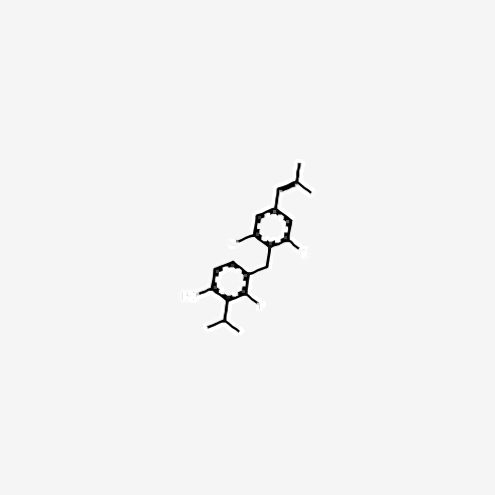 CC(C)=Cc1cc(Cl)c(Cc2ccc(O)c(C(C)C)c2F)c(Cl)c1